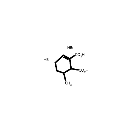 Br.Br.CC1CCC=C(C(=O)O)C1C(=O)O